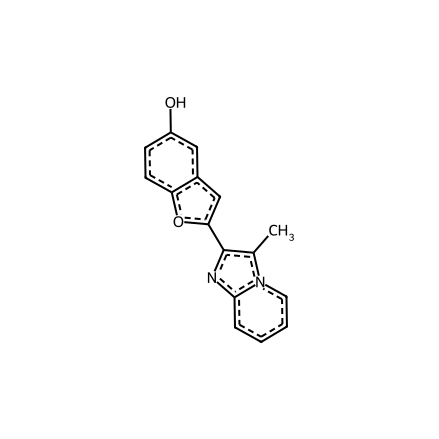 Cc1c(-c2cc3cc(O)ccc3o2)nc2ccccn12